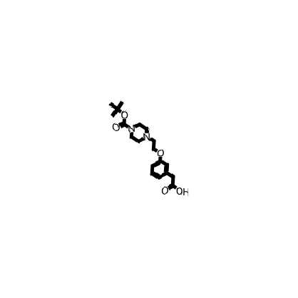 CC(C)(C)OC(=O)N1CCN(CCOc2cccc(CC(=O)O)c2)CC1